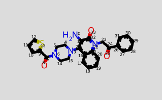 Nc1c(N2CCN(C(=O)c3cccs3)CC2)c2ccccc2n(CC(=O)c2ccccc2)c1=O